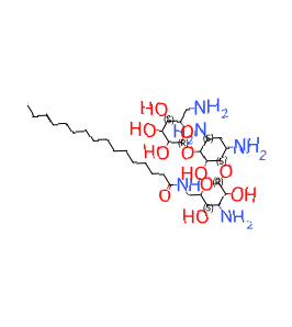 CCCCCCCCCCCCCCCC(=O)NCC1O[C@H](O[C@H]2C(N)C[C@H](N)C(O[C@H]3OC(CN)[C@@H](O)C(O)C3O)C2O)C(O)C(N)[C@@H]1O